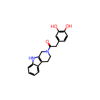 O=C(Cc1ccc(O)c(O)c1)N1CCc2c([nH]c3ccccc23)C1